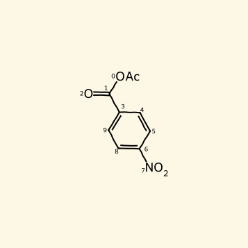 CC(=O)OC(=O)c1ccc([N+](=O)[O-])cc1